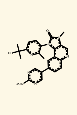 CNc1ncc(-c2ccc3ncc4c(c3c2)n(-c2ccc(C(C)(C)O)nc2C)c(=O)n4C)cn1